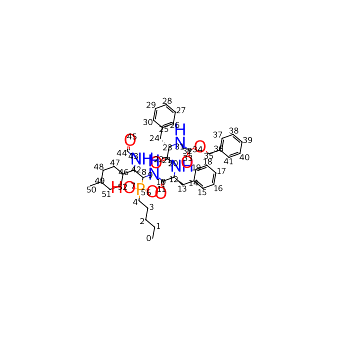 CCCCCP(=O)(O)C(NC(=O)[C@H](Cc1ccccc1)NC(=O)[C@H](Cc1ccccc1)NC(=O)OCc1ccccc1)C(NC=O)C1CCC(C)CC1